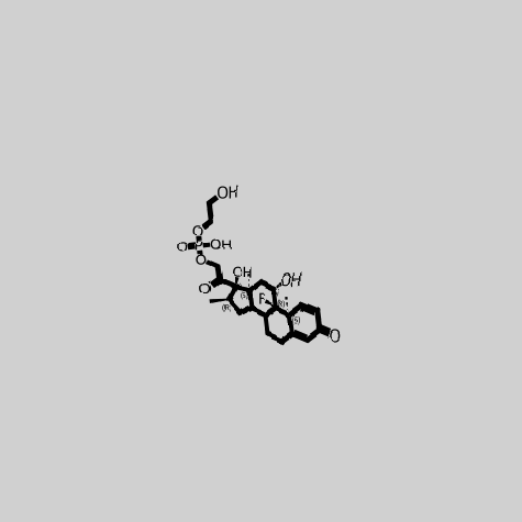 C[C@@H]1CC2C3CCC4=CC(=O)C=C[C@]4(C)[C@@]3(F)[C@@H](O)C[C@]2(C)[C@@]1(O)C(=O)COP(=O)(O)OCCO